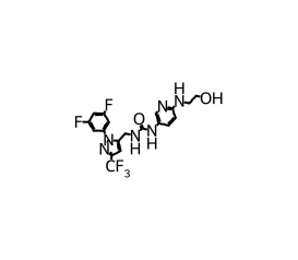 O=C(NCc1cc(C(F)(F)F)nn1-c1cc(F)cc(F)c1)Nc1ccc(NCCO)nc1